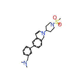 CN(C)Cc1cccc(-c2ccc3c(c2)C=CN(C2CCN(S(C)(=O)=O)CC2)C3)c1